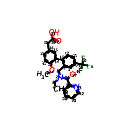 CCN(Cc1cc(C(F)(F)F)ccc1-c1cc(CC(=O)O)ccc1OC)C(=O)c1ccccn1